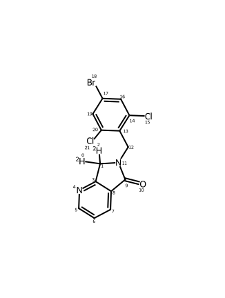 [2H]C1([2H])c2ncccc2C(=O)N1Cc1c(Cl)cc(Br)cc1Cl